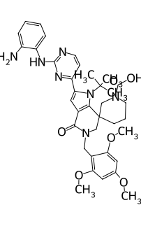 COc1cc(OC)c(CN2CC3(CCCN(C(=O)O)C3)c3c(cc(-c4ccnc(Nc5ccccc5N)n4)n3C(C)(C)C)C2=O)c(OC)c1